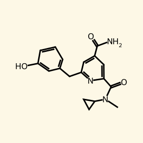 CN(C(=O)c1cc(C(N)=O)cc(Cc2cccc(O)c2)n1)C1CC1